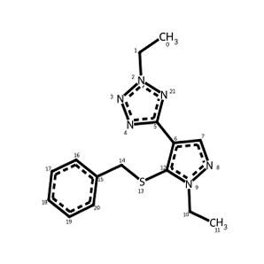 CCn1nnc(-c2cnn(CC)c2SCc2ccccc2)n1